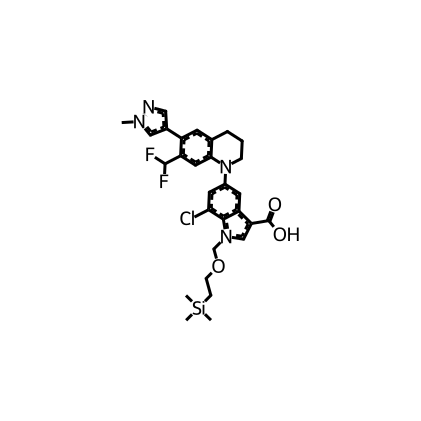 Cn1cc(-c2cc3c(cc2C(F)F)N(c2cc(Cl)c4c(c2)c(C(=O)O)cn4COCC[Si](C)(C)C)CCC3)cn1